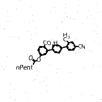 CCCCCC(=O)Oc1ccc(C(=O)O)c(-c2ccc(-c3ccc(C#N)cc3C)cc2)c1